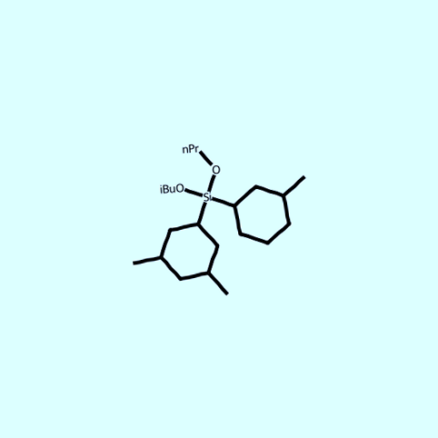 CCCO[Si](OCC(C)C)(C1CCCC(C)C1)C1CC(C)CC(C)C1